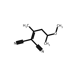 COC(C)CC(C)=C(C#N)C#N